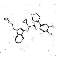 COCCn1cc(CN(C(=O)[C@@H]2CNCC[C@H]2c2ccn(C)c(=O)c2)C2CC2)c2ccccc21